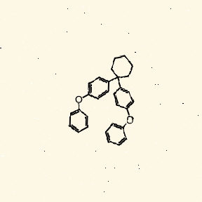 c1ccc(Oc2ccc(C3(c4ccc(Oc5ccccc5)cc4)CCCCC3)cc2)cc1